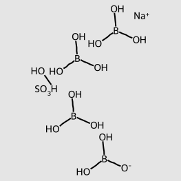 O=S(=O)(O)O.OB(O)O.OB(O)O.OB(O)O.[Na+].[O-]B(O)O